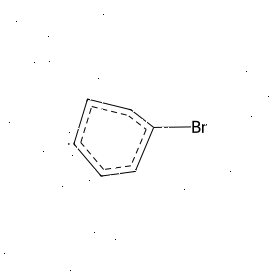 Brc1cc[c]cc1